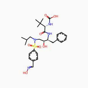 CC(C)CN(C[C@H](O)[C@H](Cc1ccccc1)NC(=O)[C@@H](NC(=O)O)C(C)(C)C)S(=O)(=O)c1ccc(C=NO)cc1